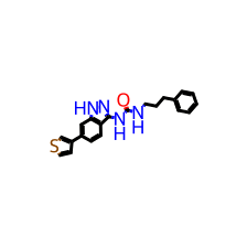 O=C(NCCCc1ccccc1)Nc1n[nH]c2cc(-c3ccsc3)ccc12